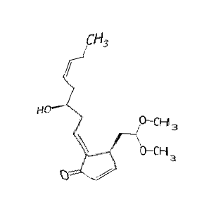 CC/C=C\C[C@H](O)C/C=C1/C(=O)C=C[C@@H]1CC(OC)OC